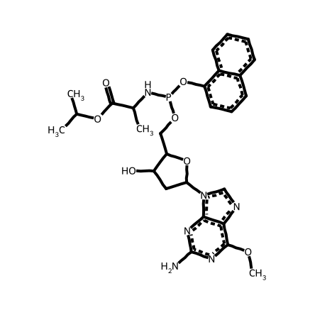 COc1nc(N)nc2c1ncn2C1CC(O)C(COP(NC(C)C(=O)OC(C)C)Oc2cccc3ccccc23)O1